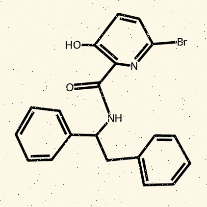 O=C(NC(Cc1ccccc1)c1ccccc1)c1nc(Br)ccc1O